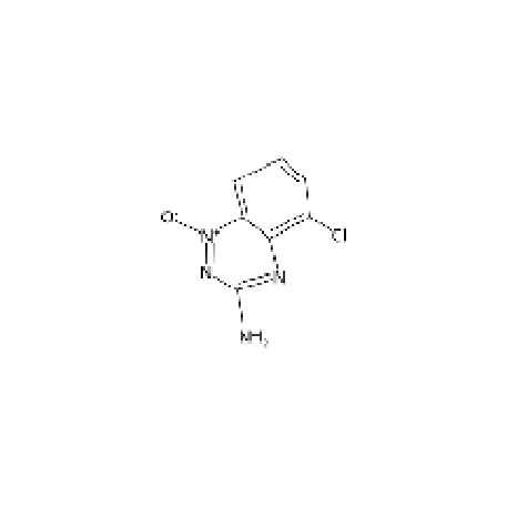 Nc1nc2c(Cl)cccc2[n+]([O-])n1